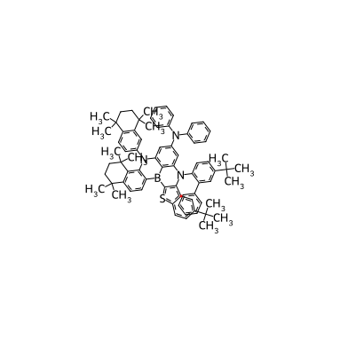 CC(C)(C)c1ccc(N2c3cc(N(c4ccccc4)c4ccccc4)cc4c3B(c3ccc5c(c3N4c3ccc4c(c3)C(C)(C)CCC4(C)C)C(C)(C)CCC5(C)C)c3sc4ccc(C(C)(C)C)cc4c32)c(-c2ccccc2)c1